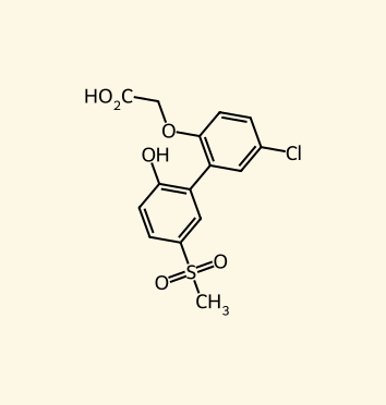 CS(=O)(=O)c1ccc(O)c(-c2cc(Cl)ccc2OCC(=O)O)c1